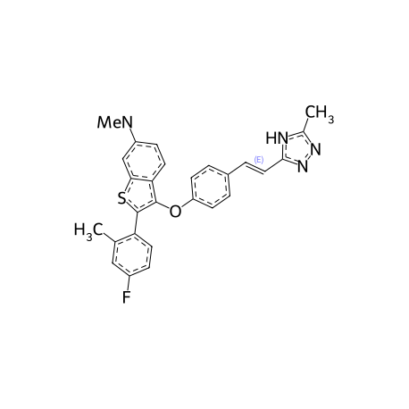 CNc1ccc2c(Oc3ccc(/C=C/c4nnc(C)[nH]4)cc3)c(-c3ccc(F)cc3C)sc2c1